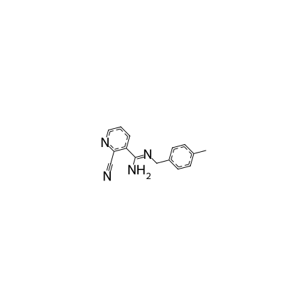 Cc1ccc(C/N=C(\N)c2cccnc2C#N)cc1